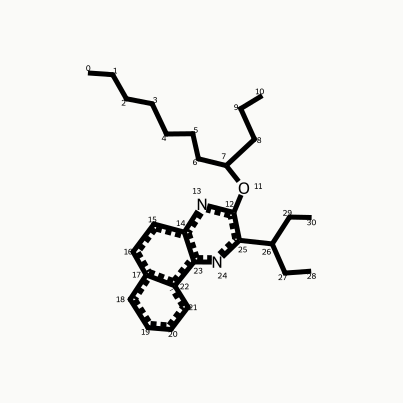 CCCCCCCC(CCC)Oc1nc2ccc3ccccc3c2nc1C(CC)CC